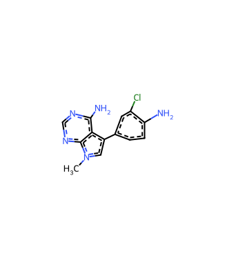 Cn1cc(-c2ccc(N)c(Cl)c2)c2c(N)ncnc21